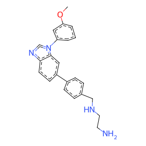 COc1cccc(-n2cnc3ccc(-c4ccc(CNCCN)cc4)cc32)c1